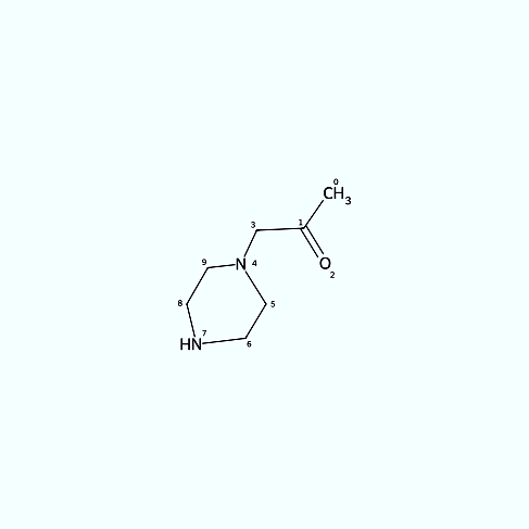 CC(=O)CN1CCNCC1